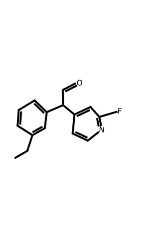 CCc1cccc(C(C=O)c2ccnc(F)c2)c1